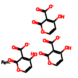 O=C([O-])c1c(O)ccoc1=O.O=C([O-])c1c(O)ccoc1=O.O=C([O-])c1c(O)ccoc1=O.[Fe+3]